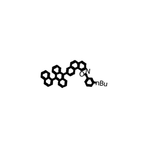 CCCCc1cccc(-c2nc3ccc4ccc5cc(-c6c7ccccc7c(-c7cccc8ccccc78)c7ccccc67)ccc5c4c3o2)c1